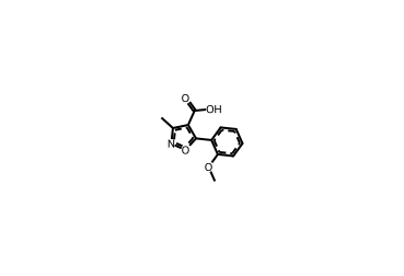 COc1ccccc1-c1onc(C)c1C(=O)O